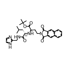 CC(C)C[C@H](N[C@H](CCN1C(=O)c2cc3ccccc3cc2C1=O)C(=O)OC(C)(C)C)C(=O)NCc1ncc[nH]1